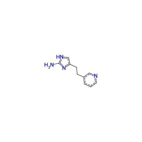 Nc1nc(CCc2cccnc2)c[nH]1